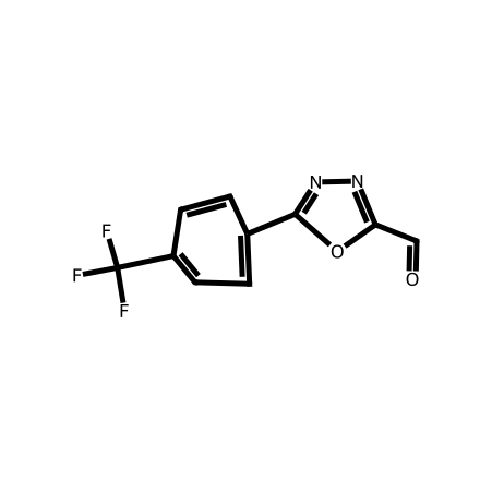 O=Cc1nnc(-c2ccc(C(F)(F)F)cc2)o1